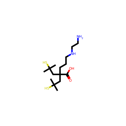 CC(C)(S)CC(CCCNCCN)(CC(C)(C)S)C(=O)O